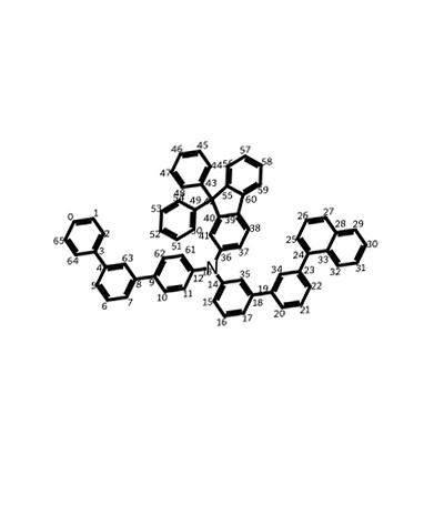 c1ccc(-c2cccc(-c3ccc(N(c4cccc(-c5cccc(-c6cccc7ccccc67)c5)c4)c4ccc5c(c4)C(c4ccccc4)(c4ccccc4)c4ccccc4-5)cc3)c2)cc1